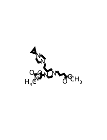 COC(=O)CCCN1CCN(C2CN(C)C(=O)O2)C(CCN2CCN(C3CC3)CC2)C1